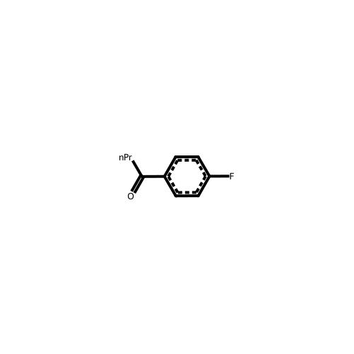 CCCC(=O)c1ccc(F)cc1